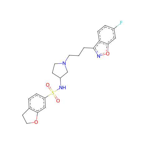 O=S(=O)(NC1CCN(CCCc2noc3cc(F)ccc23)C1)c1ccc2c(c1)OCC2